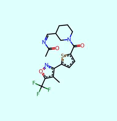 CC(=O)/N=C\C1CCCN(C(=O)c2ccc(-c3noc(C(F)(F)F)c3C)s2)C1